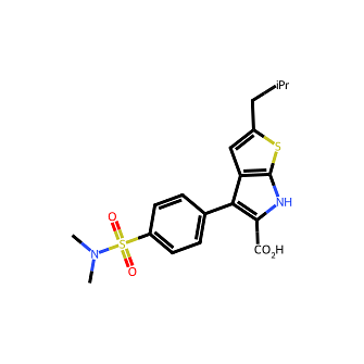 CC(C)Cc1cc2c(-c3ccc(S(=O)(=O)N(C)C)cc3)c(C(=O)O)[nH]c2s1